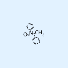 C[C@@H](c1ccccc1)N(C=O)c1ccccc1